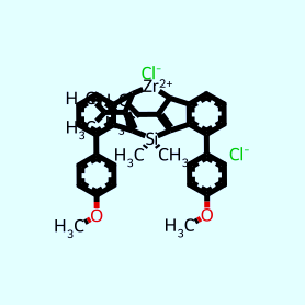 COc1ccc(-c2cccc3c2C2=C(C(C)C)[CH]3[Zr+2][CH]3C(C(C)C)=C(c4c(-c5ccc(OC)cc5)cccc43)[Si]2(C)C)cc1.[Cl-].[Cl-]